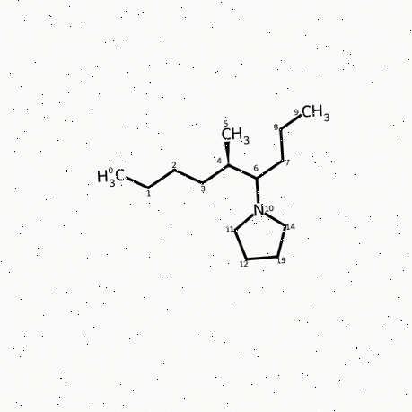 CCCC[C@@H](C)C(CCC)N1CCCC1